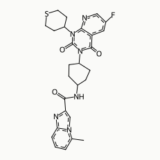 Cc1cccc2nc(C(=O)NC3CCC(n4c(=O)c5cc(F)cnc5n(C5CCSCC5)c4=O)CC3)cn12